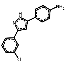 Nc1ccc(-c2cc(-c3cccc(Cl)c3)n[nH]2)cc1